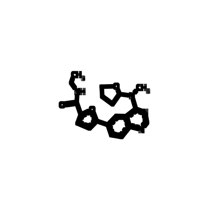 CCNC(=O)c1ccc(-c2ccc3ncnc(N(C)C4CCCO4)c3c2)o1